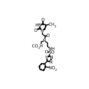 Cc1cn(CC(=O)N(CCNS(=O)(=O)c2nnc(-c3ccccc3[N+](=O)[O-])s2)CC(=O)O)c(=O)[nH]c1=O